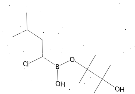 CC(C)CC(Cl)B(O)OC(C)(C)C(C)(C)O